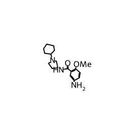 COc1ccc(N)cc1C(=O)NC1CCN(C2CCCCC2)C1